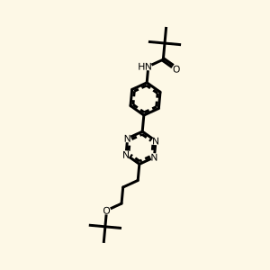 CC(C)(C)OCCCc1nnc(-c2ccc(NC(=O)C(C)(C)C)cc2)nn1